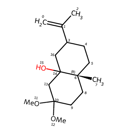 C=C(C)C1CC[C@]2(C)CCC(OC)(OC)CC2(O)C1